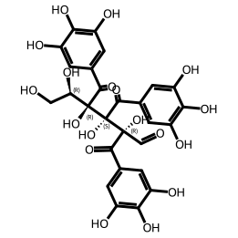 O=C[C@@](O)(C(=O)c1cc(O)c(O)c(O)c1)[C@](O)(C(=O)c1cc(O)c(O)c(O)c1)[C@@](O)(C(=O)c1cc(O)c(O)c(O)c1)[C@H](O)CO